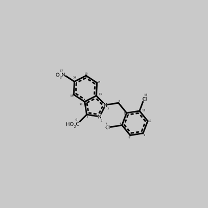 O=C(O)c1nn(Cc2c(Cl)cccc2Cl)c2ccc([N+](=O)[O-])cc12